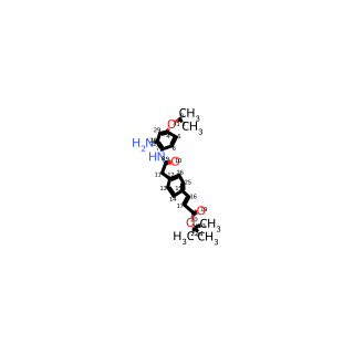 CC(C)Oc1ccc(NC(=O)Cc2ccc(/C=C/C(=O)OC(C)(C)C)cc2)c(N)c1